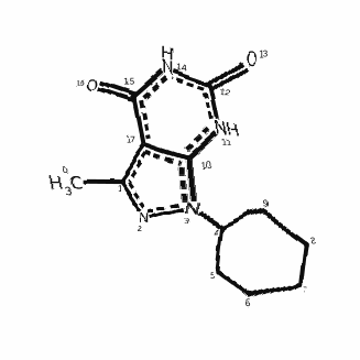 Cc1nn(C2CCCCC2)c2[nH]c(=O)[nH]c(=O)c12